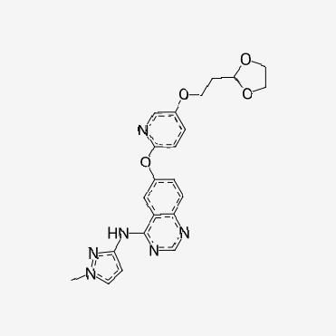 Cn1ccc(Nc2ncnc3ccc(Oc4ccc(OCCC5OCCO5)cn4)cc23)n1